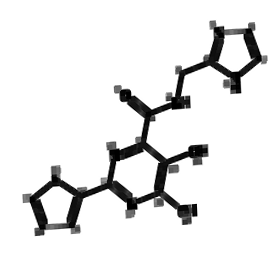 O=C(NCc1ncc[nH]1)c1nc(-c2cccs2)nc(O)c1O